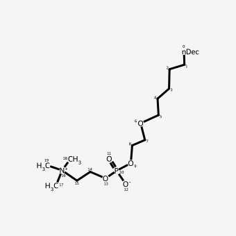 CCCCCCCCCCCCCCCOCCOP(=O)([O-])OCC[N+](C)(C)C